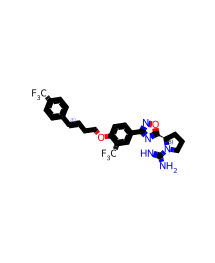 N=C(N)N1CCC[C@H]1c1nc(-c2ccc(OCC/C=C/c3ccc(C(F)(F)F)cc3)c(C(F)(F)F)c2)no1